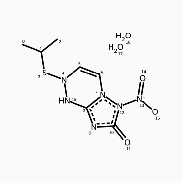 CC(C)SN1C=Cn2c(nc(=O)n2[N+](=O)[O-])N1.O.O